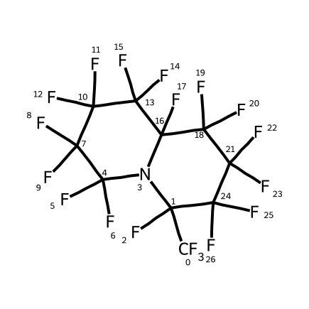 FC(F)(F)C1(F)N2C(F)(F)C(F)(F)C(F)(F)C(F)(F)C2(F)C(F)(F)C(F)(F)C1(F)F